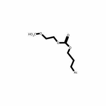 CC(=O)CCCOC(=O)OCCOC(=O)O